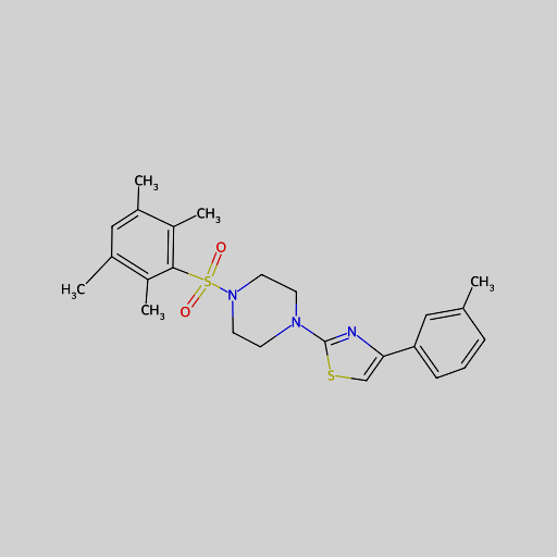 Cc1cccc(-c2csc(N3CCN(S(=O)(=O)c4c(C)c(C)cc(C)c4C)CC3)n2)c1